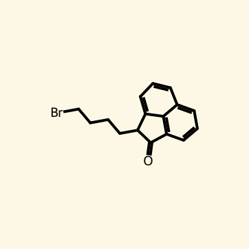 O=C1c2cccc3cccc(c23)C1CCCCBr